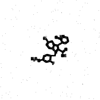 COc1ccc(Cn2c(C(=O)O)c(-c3ccc[nH]c3=O)c3cc(Cl)ccc32)c(F)c1